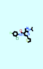 CC(C)n1ncc2c(C(=O)Nc3ccc(F)cc3Cl)cc(-c3cccs3)nc21